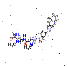 Cn1cc(NC(=O)c2cc(NC(=O)c3ccc(/C=C/c4cnc5ccccc5c4)cc3)cn2C)cc1C(N)=O